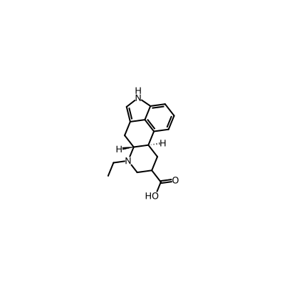 CCN1CC(C(=O)O)C[C@@H]2c3cccc4[nH]cc(c34)C[C@H]21